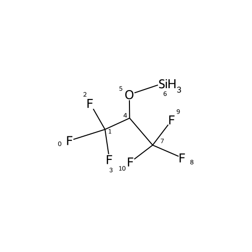 FC(F)(F)C(O[SiH3])C(F)(F)F